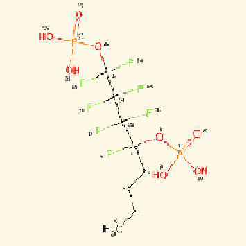 CCCCC(F)(OP(=O)(O)O)C(F)(F)C(F)(F)C(F)(F)OP(=O)(O)O